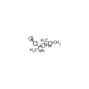 CCC/C(C)=C(/c1ccc(N2CCCS2)cc1)N1CCN(c2ncc(C)cc2C)CC1